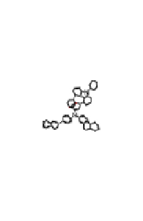 c1ccc(-c2cccc3c2c2c(-c4cccc(N(c5ccc(-c6ccc7ccccc7c6)cc5)c5ccc6c(ccc7ccccc76)c5)c4)cccc2n3-c2ccccc2)cc1